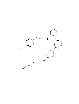 N#Cc1ccc(CCNC(=O)[C@@H]2CCCN2c2cc(N3CCC(CCCC(=O)NCCCS(=O)(=O)O)CC3)nc(C(F)(F)F)n2)cc1